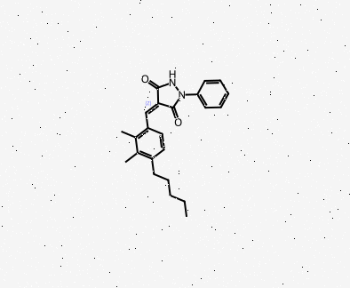 CCCCCc1ccc(/C=C2/C(=O)NN(c3ccccc3)C2=O)c(C)c1C